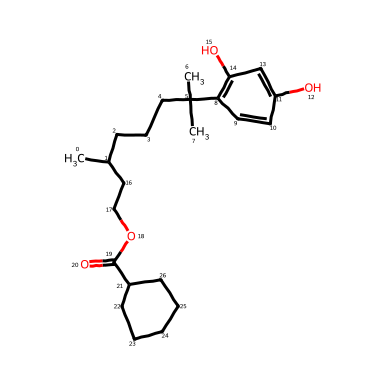 CC(CCCC(C)(C)c1ccc(O)cc1O)CCOC(=O)C1CCCCC1